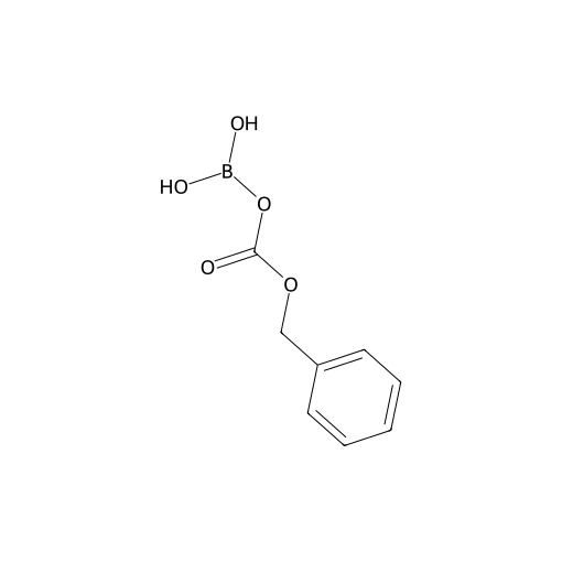 O=C(OCc1ccccc1)OB(O)O